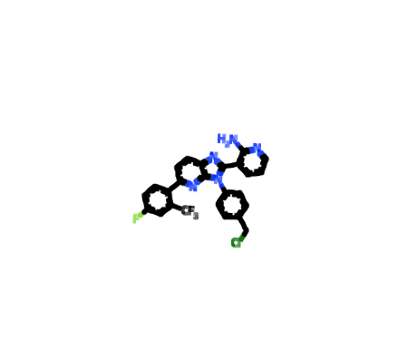 Nc1ncccc1-c1nc2ccc(-c3ccc(F)cc3C(F)(F)F)nc2n1-c1ccc(CCl)cc1